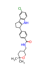 CC1(C)CCC(CNC(=O)c2ccc(C3CCc4c3[nH]c3ccc(Cl)cc43)cc2)CO1